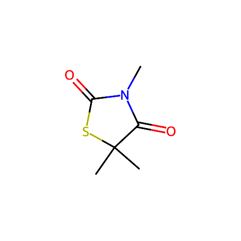 CN1C(=O)SC(C)(C)C1=O